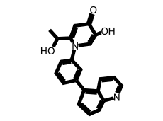 CC(O)c1cc(=O)c(O)cn1-c1cccc(-c2cccc3ncccc23)c1